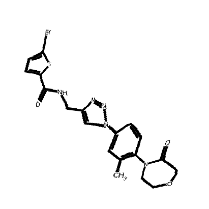 Cc1cc(-n2cc(CNC(=O)c3ccc(Br)s3)nn2)ccc1N1CCOCC1=O